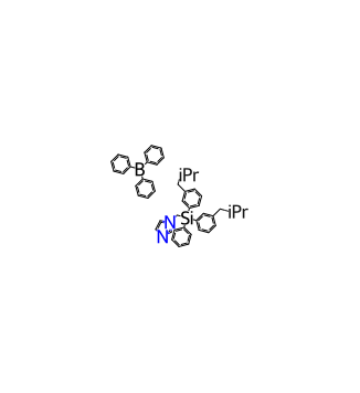 CC(C)Cc1cccc([Si](Cn2ccnc2)(c2ccccc2)c2cccc(CC(C)C)c2)c1.c1ccc(B(c2ccccc2)c2ccccc2)cc1